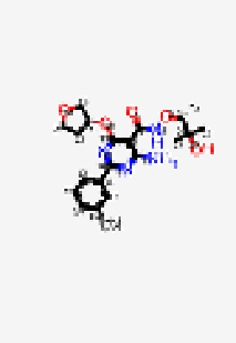 C[C@@H](ONC(=O)c1c(N)nc(-c2cccc(C#N)c2)nc1O[C@H]1CCOC1)C(C)(C)O